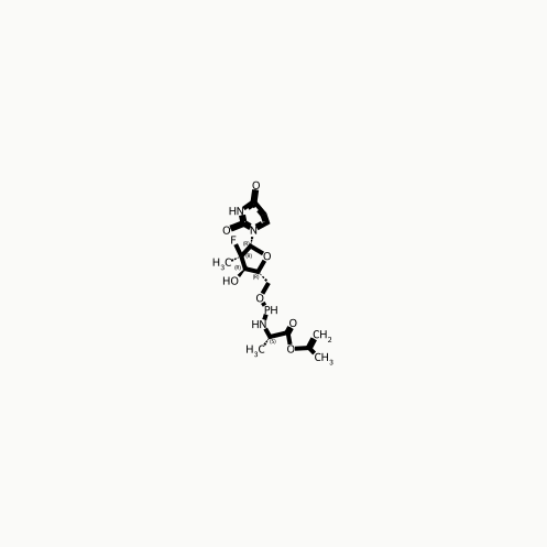 C=C(C)OC(=O)[C@H](C)NPOC[C@H]1O[C@@H](n2ccc(=O)[nH]c2=O)[C@](C)(F)[C@@H]1O